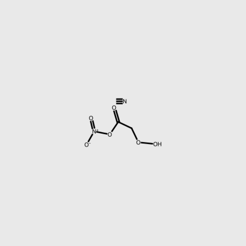 C#N.O=C(COO)O[N+](=O)[O-]